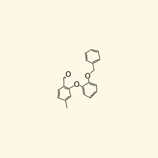 Cc1ccc(C=O)c(Oc2ccccc2OCc2ccccc2)c1